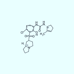 CC1=CCC[C@H]1NC(=O)Nc1ccc(Cl)c(S(=O)(=O)C2CCN3CCC[C@H]3C2)c1O